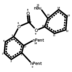 CCCCCc1cccc(OC(=O)Oc2ccccc2CCCC)c1CCCCC